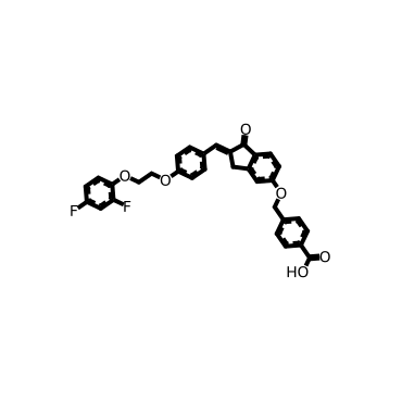 O=C(O)c1ccc(COc2ccc3c(c2)C/C(=C\c2ccc(OCCOc4ccc(F)cc4F)cc2)C3=O)cc1